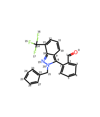 O=Cc1ccccc1-c1c2cccc(C(F)(F)F)c2nn1Cc1ccccc1